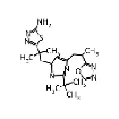 CC(Cc1cc(CC(C)(C)c2nnc(N)s2)nc(C(C)(C)C)n1)c1nnco1